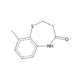 Cc1cccc2c1SCCC(=O)N2